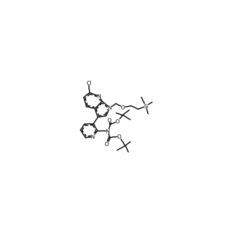 CC(C)(C)OC(=O)N(C(=O)OC(C)(C)C)c1ncccc1-c1cn(COCC[Si](C)(C)C)c2nc(Cl)ccc12